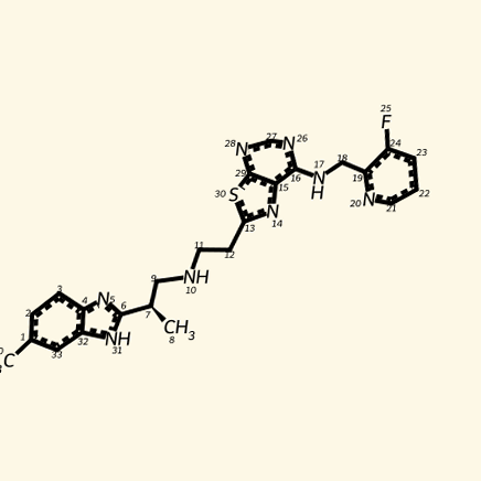 Cc1ccc2nc([C@H](C)CNCCc3nc4c(NCc5ncccc5F)ncnc4s3)[nH]c2c1